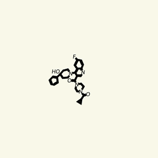 O=C(c1cnc2ccc(F)cc2c1N1CCC(O)(c2ccccc2)CC1)N1CCN(C(=O)C2CC2)CC1